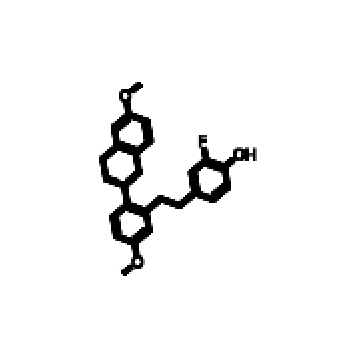 COc1ccc2c(c1)CCC(c1ccc(OC)cc1CCc1ccc(O)c(F)c1)C2